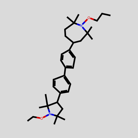 CCCON1C(C)(C)CCC(c2ccc(-c3ccc(C4CC(C)(C)N(OCC)C4(C)C)cc3)cc2)CC1(C)C